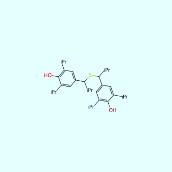 CC(C)c1cc(C(SC(c2cc(C(C)C)c(O)c(C(C)C)c2)C(C)C)C(C)C)cc(C(C)C)c1O